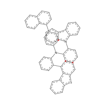 c1ccc(N(c2ccc(-c3cccc4ccccc34)cc2)c2ccccc2-n2c3ccccc3c3ccccc32)c(-c2cccc3sc4ccccc4c23)c1